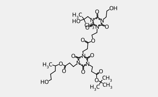 CC(CCCO)OC(=O)CCn1c(=O)n(CCC(=O)OCCn2c(=O)n(CCO)c(=O)n(CC(C)(C)O)c2=O)c(=O)n(CCC(=O)OC(C)(C)C)c1=O